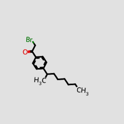 CCCCCCC(C)c1ccc(C(=O)CBr)cc1